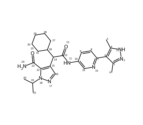 Cc1n[nH]c(C)c1-c1ccc(NC(=O)C(c2cnn(C(C)C)c2C(N)=O)C2CCCCC2)cn1